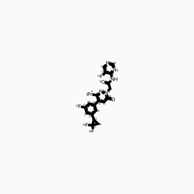 CC(C)c1nn(CC(=O)Nc2ncncc2F)c(=O)cc1-c1cc(F)cc(C2CC2(F)F)c1